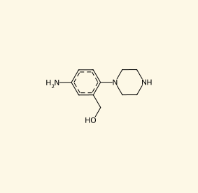 Nc1ccc(N2CCNCC2)c(CO)c1